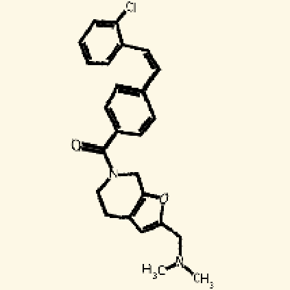 CN(C)Cc1cc2c(o1)CN(C(=O)c1ccc(/C=C\c3ccccc3Cl)cc1)CC2